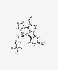 CC=c1ccc2c(c1C1=C(CCCO[Si](C)(C)C)C=CC1)[C]([Zr+2])=c1ccccc1=2.[Cl-].[Cl-]